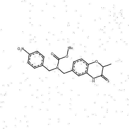 CC1Oc2ccc(CN(Cc3ccc([N+](=O)[O-])cc3)C(=O)OC(C)(C)C)cc2NC1=S